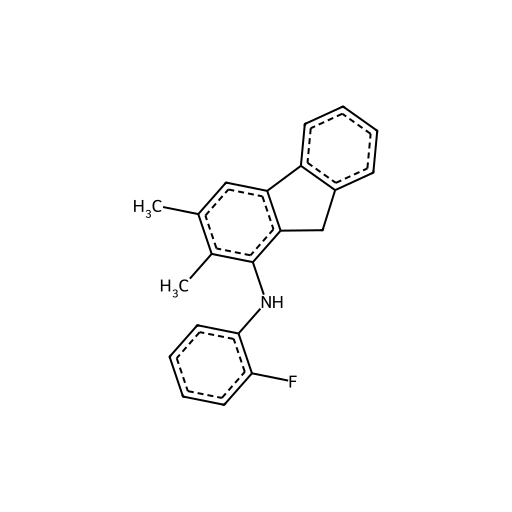 Cc1cc2c(c(Nc3ccccc3F)c1C)Cc1ccccc1-2